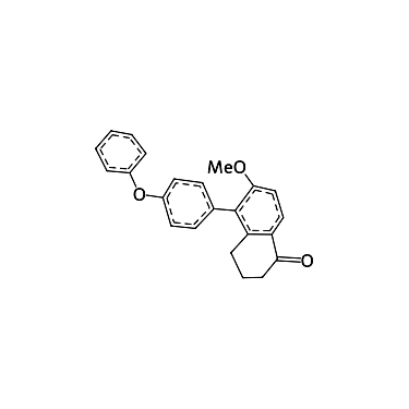 COc1ccc2c(c1-c1ccc(Oc3ccccc3)cc1)CCCC2=O